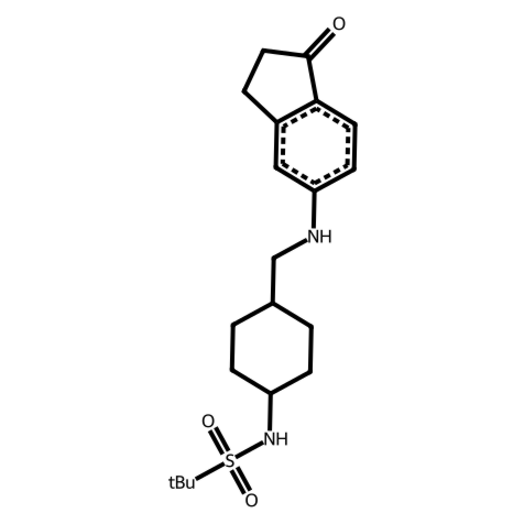 CC(C)(C)S(=O)(=O)NC1CCC(CNc2ccc3c(c2)CCC3=O)CC1